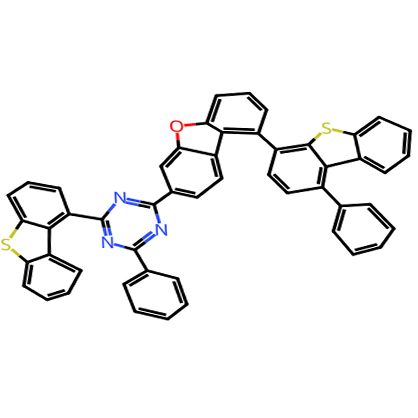 c1ccc(-c2nc(-c3ccc4c(c3)oc3cccc(-c5ccc(-c6ccccc6)c6c5sc5ccccc56)c34)nc(-c3cccc4sc5ccccc5c34)n2)cc1